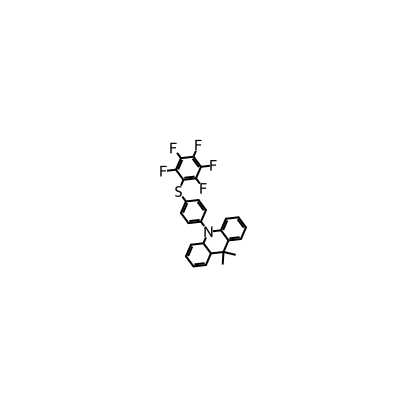 CC1(C)c2ccccc2N(c2ccc(Sc3c(F)c(F)c(F)c(F)c3F)cc2)C2C=CC=CC21